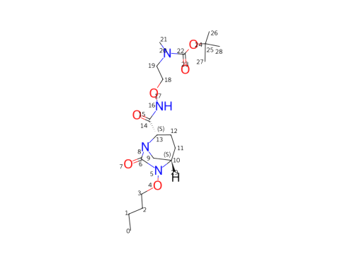 CCCCON1C(=O)N2C[C@@H]1CC[C@H]2C(=O)NOCCN(C)C(=O)OC(C)(C)C